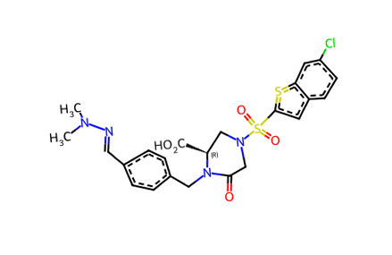 CN(C)N=Cc1ccc(CN2C(=O)CN(S(=O)(=O)c3cc4ccc(Cl)cc4s3)C[C@@H]2C(=O)O)cc1